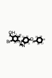 OCc1cc(F)c(-n2cnc3cc(OCc4ccccc4)ccc32)cc1Br